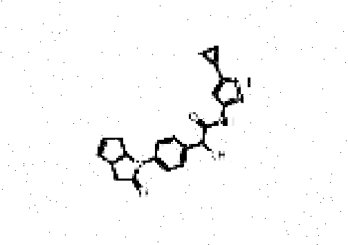 CC(C(=O)Nc1cc(C2CC2)[nH]n1)c1ccc(N2C(=O)CC3C=CCC32)cc1